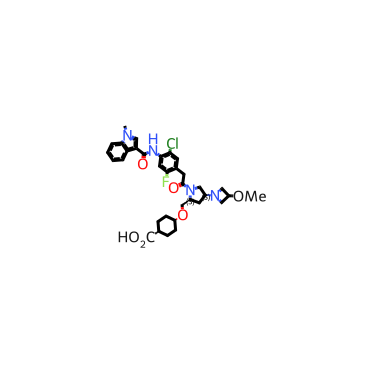 COC1CN([C@H]2C[C@@H](CO[C@H]3CC[C@H](C(=O)O)CC3)N(C(=O)Cc3cc(Cl)c(NC(=O)c4cn(C)c5ccccc45)cc3F)C2)C1